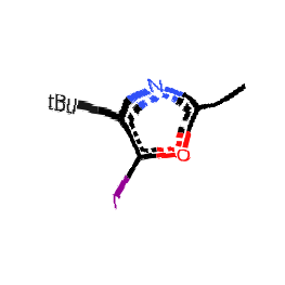 Cc1nc(C(C)(C)C)c(I)o1